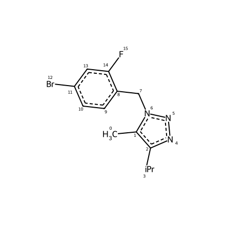 Cc1c(C(C)C)nnn1Cc1ccc(Br)cc1F